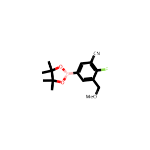 COCc1cc(B2OC(C)(C)C(C)(C)O2)cc(C#N)c1F